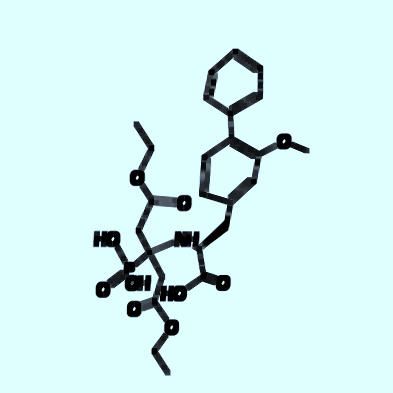 CCOC(=O)CC(CC(=O)OCC)(N[C@@H](Cc1ccc(-c2ccccc2)c(OC)c1)C(=O)O)P(=O)(O)O